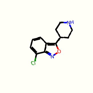 Clc1cccc2c(C3CCNCC3)onc12